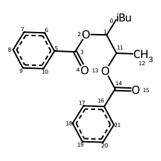 CCC(C)C(OC(=O)c1ccccc1)C(C)OC(=O)c1ccccc1